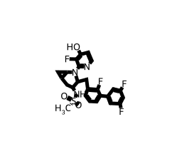 CS(=O)(=O)NC1CC2CC2N(c2nccc(O)c2F)C1Cc1cccc(-c2cc(F)cc(F)c2)c1F